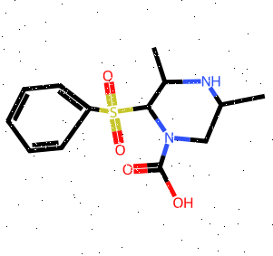 CC1CN(C(=O)O)C(S(=O)(=O)c2ccccc2)C(C)N1